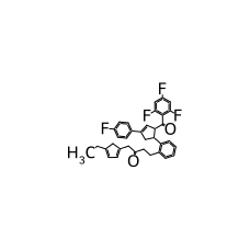 CCC1=CC=C(CC(=O)CCc2ccccc2C2CC(c3ccc(F)cc3)=CC2C(=O)c2c(F)cc(F)cc2F)C1